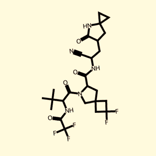 CC(C)(C)C(NC(=O)C(F)(F)F)C(=O)N1CC2(CC1C(=O)NC(C#N)CC1CC3(CC3)NC1=O)CC(F)(F)C2